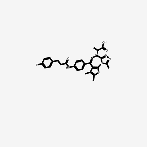 Cc1sc2c(c1C)C(c1ccc(NC(=O)CCc3ccc(F)cc3)cc1)=N[C@@H](C(C)C(=O)O)c1nnc(C)n1-2